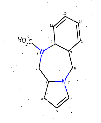 O=C(O)N1CC2CC=CN2CC2C=CC=CC21